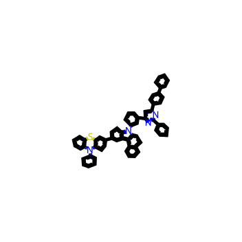 c1ccc(-c2ccc(-c3cc(-c4cccc(-n5c6ccc(-c7ccc8c(c7)Sc7ccccc7N8c7ccccc7)cc6c6c7ccccc7ccc65)c4)nc(-c4ccccc4)n3)cc2)cc1